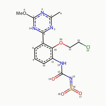 COc1nc(C)nc(-c2cccc(NC(=O)N=S(=O)=O)c2OCCCl)n1